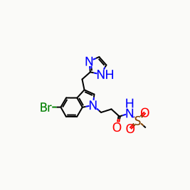 CS(=O)(=O)NC(=O)CCn1cc(Cc2ncc[nH]2)c2cc(Br)ccc21